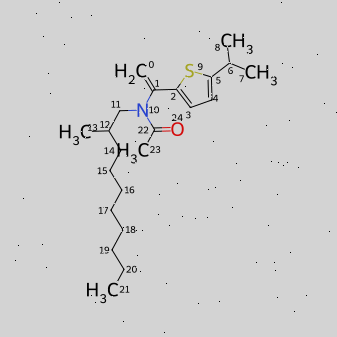 C=C(c1ccc(C(C)C)s1)N(CC(C)CCCCCCCC)C(C)=O